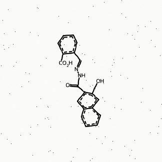 O=C(N/N=C/c1ccccc1C(=O)O)c1cc2ccccc2cc1O